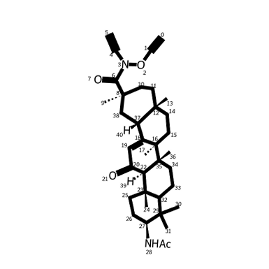 C#CON(C#C)C(=O)[C@@]1(C)CC[C@]2(C)CC[C@]3(C)C(=CC(=O)[C@@H]4[C@@]5(C)CC[C@H](NC(C)=O)C(C)(C)C5CC[C@]43C)[C@@H]2C1